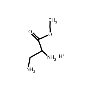 COC(=O)C(N)CN.[H+]